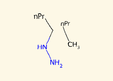 CCCC.CCCCNN